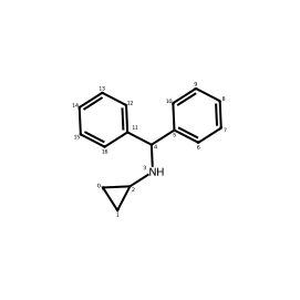 [CH]1CC1NC(c1ccccc1)c1ccccc1